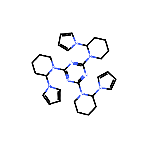 c1ccn(C2CCCCN2c2nc(N3CCCCC3n3cccc3)nc(N3CCCCC3n3cccc3)n2)c1